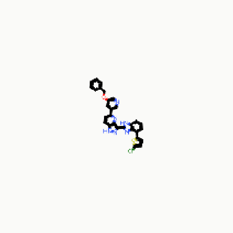 Clc1ccc(-c2cccc3[nH]c(-c4n[nH]c5ccc(-c6cncc(OCc7ccccc7)c6)nc45)nc23)s1